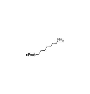 CCCCCCCCCC/C=C/N